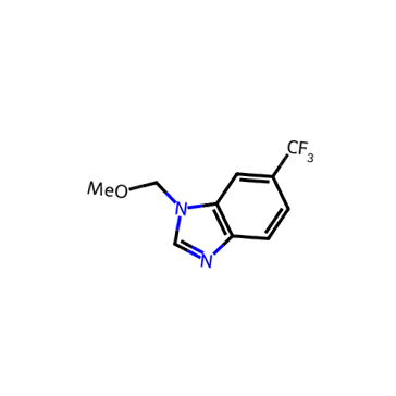 COCn1cnc2ccc(C(F)(F)F)cc21